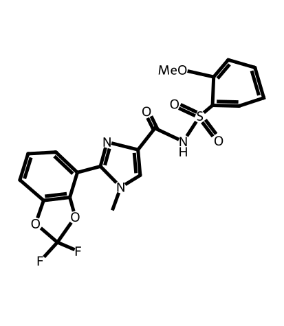 COc1ccccc1S(=O)(=O)NC(=O)c1cn(C)c(-c2cccc3c2OC(F)(F)O3)n1